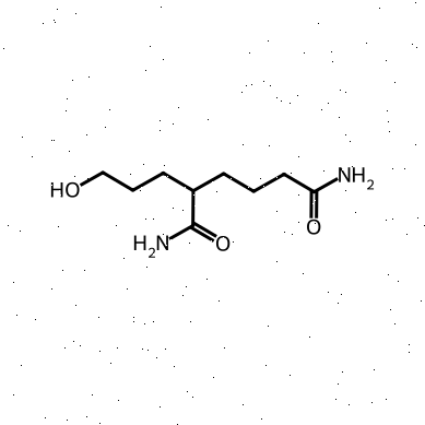 NC(=O)CCCC(CCCO)C(N)=O